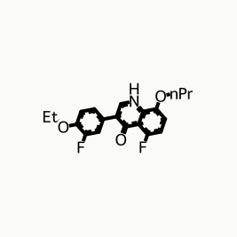 CCCOc1ccc(F)c2c(=O)c(-c3ccc(OCC)c(F)c3)c[nH]c12